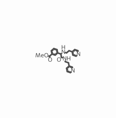 COC(=O)c1cccc(C(NCCc2ccncc2)C(=O)NCCc2cccnc2)c1